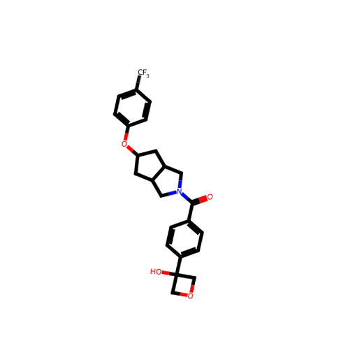 O=C(c1ccc(C2(O)COC2)cc1)N1CC2CC(Oc3ccc(C(F)(F)F)cc3)CC2C1